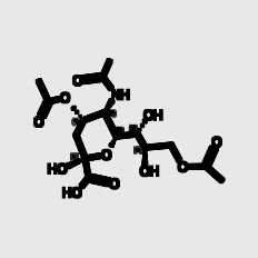 CC(=O)N[C@H]1[C@H]([C@H](O)[C@H](O)COC(C)=O)O[C@](O)(C(=O)O)C[C@@H]1OC(C)=O